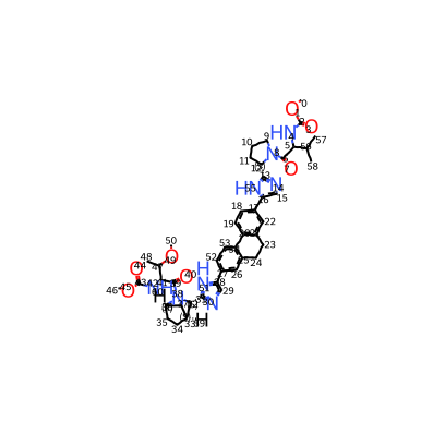 COC(=O)NC(C(=O)N1CCC[C@H]1c1ncc(-c2ccc3c(c2)CCc2cc(-c4cnc([C@@H]5[C@H]6CC[C@H](C6)N5C(=O)C(NC(=O)OC)C(C)OC)[nH]4)ccc2-3)[nH]1)C(C)C